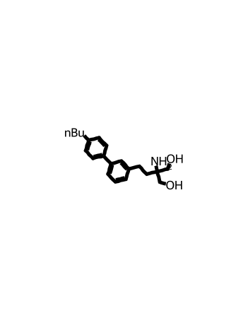 CCCCc1ccc(-c2cccc(CCC(N)(CO)CO)c2)cc1